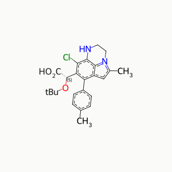 Cc1ccc(-c2c([C@H](OC(C)(C)C)C(=O)O)c(Cl)c3c4c2cc(C)n4CCN3)cc1